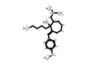 CCCCCC1(O)C(=Cc2ccc(OC)cc2)CCCCC1CN(C)C